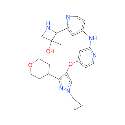 CC1(O)CNC1c1cc(Nc2cc(Oc3cn(C4CC4)nc3C3CCOCC3)ccn2)ccn1